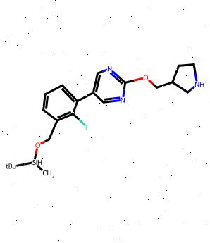 C[SiH](OCc1cccc(-c2cnc(OCC3CCNC3)nc2)c1F)C(C)(C)C